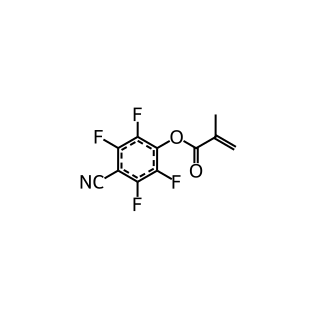 C=C(C)C(=O)Oc1c(F)c(F)c(C#N)c(F)c1F